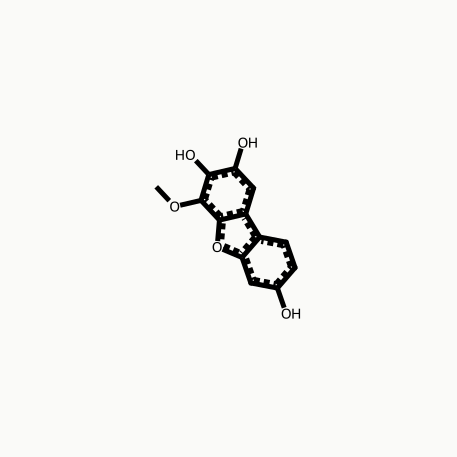 COc1c(O)c(O)cc2c1oc1cc(O)ccc12